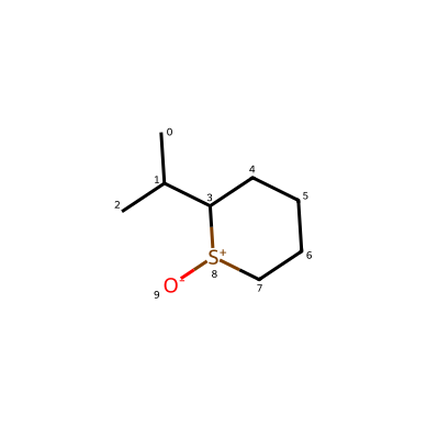 CC(C)C1CCCC[S+]1[O-]